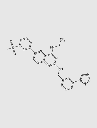 CS(=O)(=O)c1cccc(-c2ccc3nc(NCc4cccc(-n5cncn5)c4)nc(NCC(F)(F)F)c3n2)c1